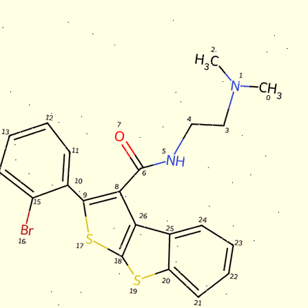 CN(C)CCNC(=O)c1c(-c2ccccc2Br)sc2sc3ccccc3c12